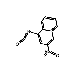 O=C=Nc1cc([SH](=O)=O)cc2ccccc12